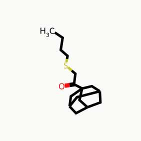 CCCCSCC(=O)C12CC3CC(CC(C3)C1)C2